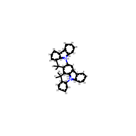 CC1(C)c2c(cc3c4ccccc4n4c3c2C(C)(C)c2ccccc2-4)-n2c3ccccc3c3cccc1c32